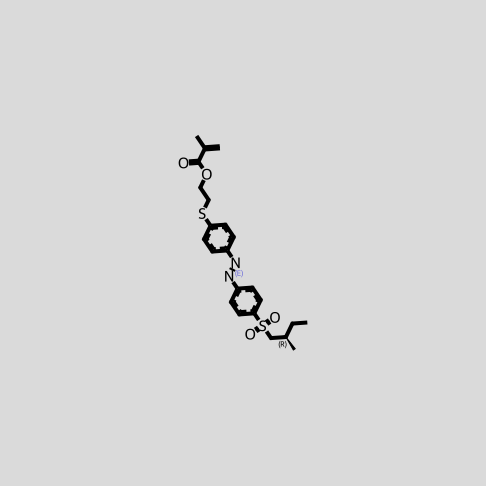 C=C(C)C(=O)OCCSc1ccc(/N=N/c2ccc(S(=O)(=O)C[C@H](C)CC)cc2)cc1